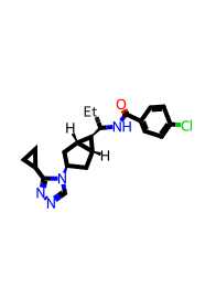 CCC(NC(=O)c1ccc(Cl)cc1)[C@H]1[C@@H]2C[C@@H](n3cnnc3C3CC3)C[C@@H]21